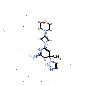 CC1(n2ccnn2)C=C(N2CC(N3CCOCC3)C2)N=C(N)C1